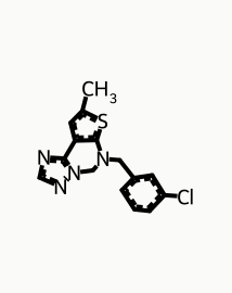 Cc1cc2c(s1)N(Cc1cccc(Cl)c1)Cn1ncnc1-2